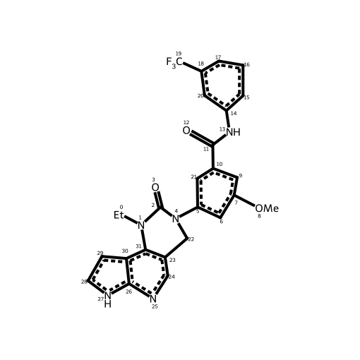 CCN1C(=O)N(c2cc(OC)cc(C(=O)Nc3cccc(C(F)(F)F)c3)c2)Cc2cnc3[nH]ccc3c21